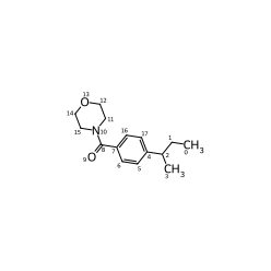 CCC(C)c1ccc(C(=O)N2CCOCC2)cc1